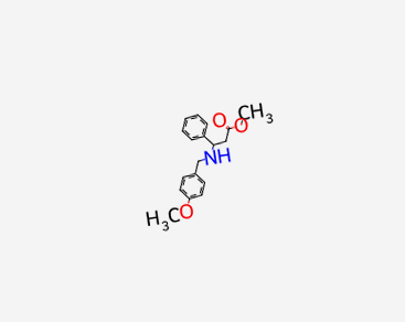 COC(=O)CC(NCc1ccc(OC)cc1)c1ccccc1